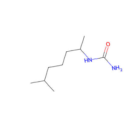 CC(C)CCCC(C)NC(N)=O